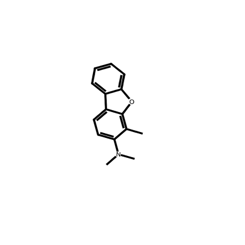 Cc1c(N(C)C)ccc2c1oc1ccccc12